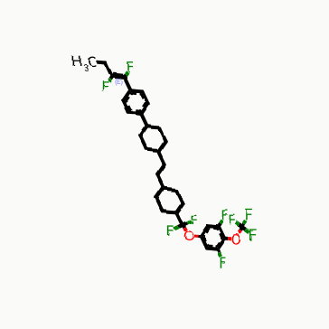 CC/C(F)=C(\F)c1ccc(C2CCC(CCC3CCC(C(F)(F)Oc4cc(F)c(OC(F)(F)F)c(F)c4)CC3)CC2)cc1